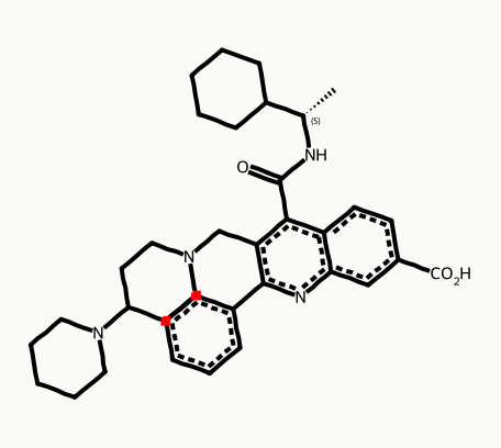 C[C@H](NC(=O)c1c(CN2CCC(N3CCCCC3)CC2)c(-c2ccccc2)nc2cc(C(=O)O)ccc12)C1CCCCC1